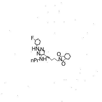 CCCNc1nc(Nc2cccc(F)c2)ncc1C#CCCCN1C(=O)c2ccccc2C1=O